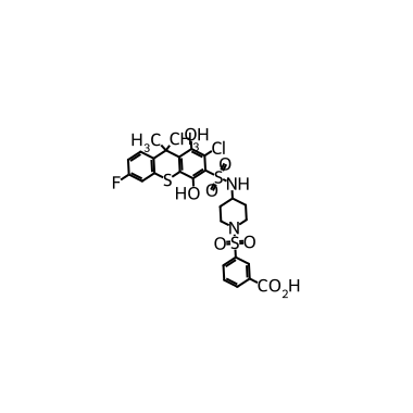 CC1(C)c2ccc(F)cc2Sc2c(O)c(S(=O)(=O)NC3CCN(S(=O)(=O)c4cccc(C(=O)O)c4)CC3)c(Cl)c(O)c21